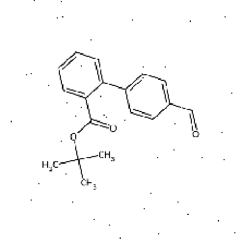 CC(C)(C)OC(=O)c1ccccc1-c1ccc(C=O)cc1